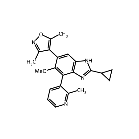 COc1c(-c2c(C)noc2C)cc2[nH]c(C3CC3)nc2c1-c1cccnc1C